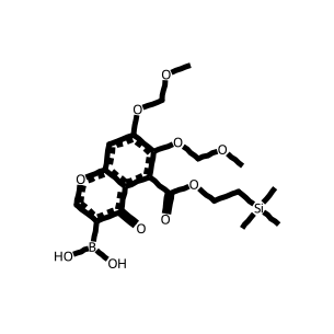 COCOc1cc2occ(B(O)O)c(=O)c2c(C(=O)OCC[Si](C)(C)C)c1OCOC